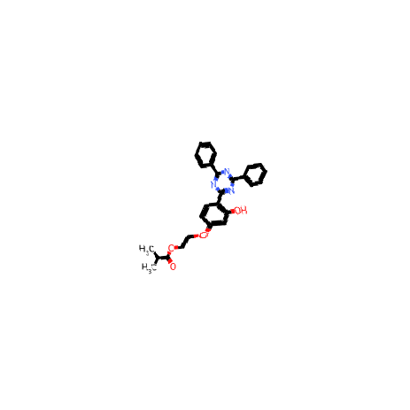 CC(C)C(=O)OCCOc1ccc(-c2nc(-c3ccccc3)nc(-c3ccccc3)n2)c(O)c1